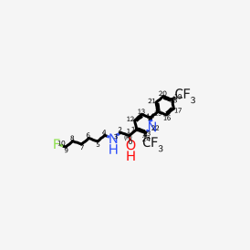 O[C@@H](CNCCCCCCF)c1ccc(-c2ccc(C(F)(F)F)cc2)nc1C(F)(F)F